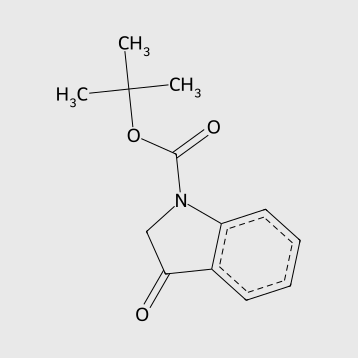 CC(C)(C)OC(=O)N1CC(=O)c2ccccc21